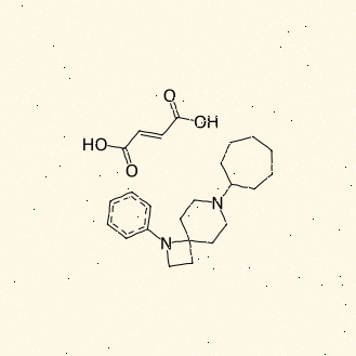 O=C(O)/C=C/C(=O)O.c1ccc(N2CCC23CCN(C2CCCCCC2)CC3)cc1